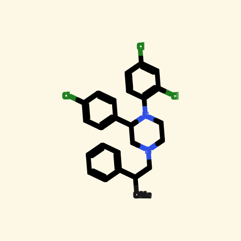 COC(CN1CCN(c2ccc(Cl)cc2Cl)C(c2ccc(Cl)cc2)C1)c1ccccc1